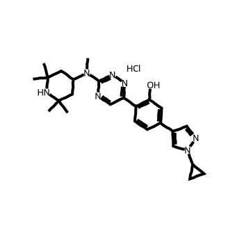 CN(c1ncc(-c2ccc(-c3cnn(C4CC4)c3)cc2O)nn1)C1CC(C)(C)NC(C)(C)C1.Cl